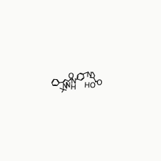 CC(C)(C)n1nc(C(=O)Nc2ccc(CN3CCC(C(=O)O)C3)cc2)cc1-c1ccccc1